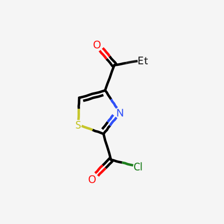 CCC(=O)c1csc(C(=O)Cl)n1